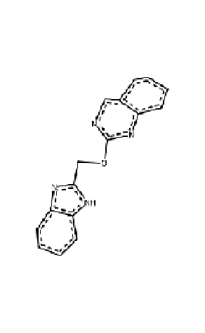 c1ccc2nc(OCc3nc4ccccc4[nH]3)ncc2c1